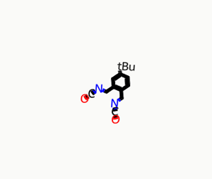 CC(C)(C)c1ccc(CN=C=O)c(CN=C=O)c1